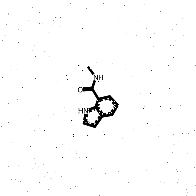 CNC(=O)c1cccc2[c]c[nH]c12